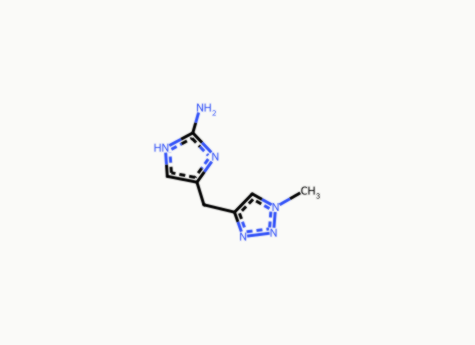 Cn1cc(Cc2c[nH]c(N)n2)nn1